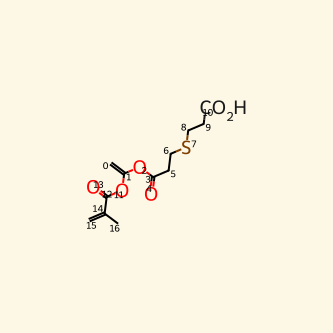 C=C(OC(=O)CCSCCC(=O)O)OC(=O)C(=C)C